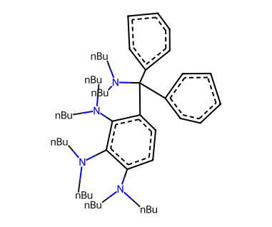 CCCCN(CCCC)c1ccc(C(c2ccccc2)(c2ccccc2)N(CCCC)CCCC)c(N(CCCC)CCCC)c1N(CCCC)CCCC